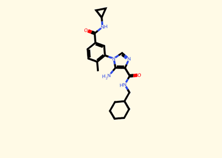 Cc1ccc(C(=O)NC2CC2)cc1-n1cnc(C(=O)NCC2CCCCC2)c1N